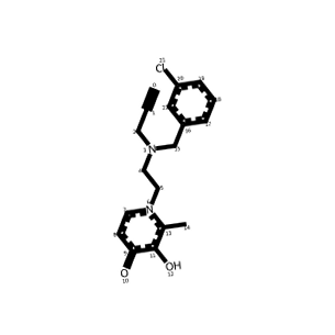 C#CCN(CCn1ccc(=O)c(O)c1C)Cc1cccc(Cl)c1